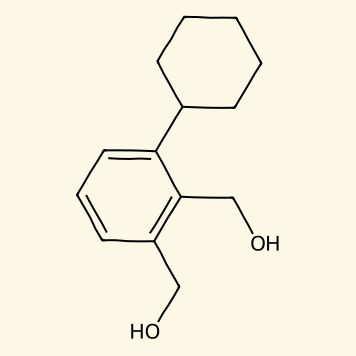 OCc1cccc(C2CCCCC2)c1CO